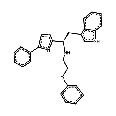 c1ccc(OCCN[C@H](Cc2c[nH]c3ccccc23)c2nc(-c3ccccc3)cs2)cc1